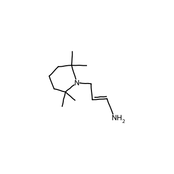 CC1(C)CCCC(C)(C)N1CC=CN